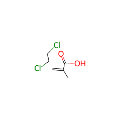 C=C(C)C(=O)O.ClCCCl